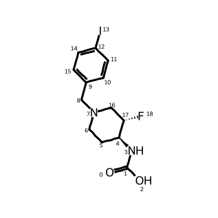 O=C(O)N[C@H]1CCN(Cc2ccc(I)cc2)C[C@@H]1F